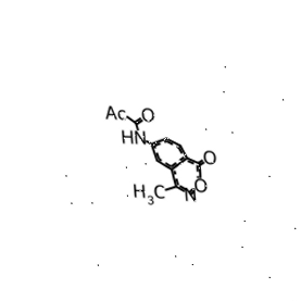 CC(=O)C(=O)Nc1ccc2c(=O)onc(C)c2c1